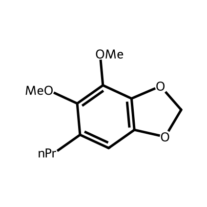 CCCc1cc2c(c(OC)c1OC)OCO2